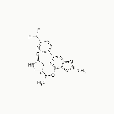 CC(Oc1nc(-c2ccc(C(F)F)nc2)cc2nn(C)cc12)[C@H]1CNC(=O)C1